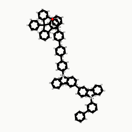 c1ccc(-c2cccc(-n3c4ccccc4c4cc(-c5ccc6c(c5)c5ccccc5n6-c5ccc(-c6ccc(-c7ccc(-c8cccc(-c9ccccc9C9(c%10ccccc%10)c%10ccccc%10-c%10ccccc%109)c8)cc7)cc6)cc5)ccc43)c2)cc1